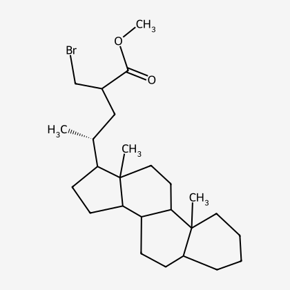 COC(=O)C(CBr)C[C@@H](C)C1CCC2C3CCC4CCCCC4(C)C3CCC21C